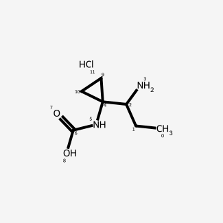 CCC(N)C1(NC(=O)O)CC1.Cl